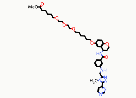 COC(=O)CCCCCOCCOCCOCCCCCCOc1ccc2c(c1)[C@H](NC(=O)c1cccc(NCc3nnc(-c4ccncn4)n3C)c1)CCO2